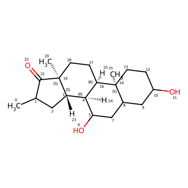 CC1C[C@H]2[C@@H]3C(O)CC4CC(O)CC[C@]4(C)[C@@H]3CC[C@]2(C)C1=O